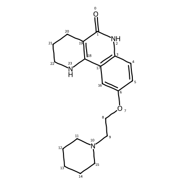 O=c1[nH]c2ccc(OCCN3CCCCC3)cc2c2c1CCCN2